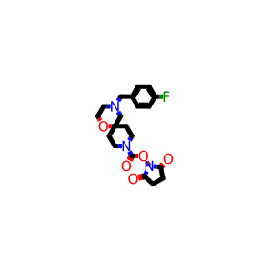 O=C(ON1C(=O)CCC1=O)N1CCC2(CC1)CN(Cc1ccc(F)cc1)CCO2